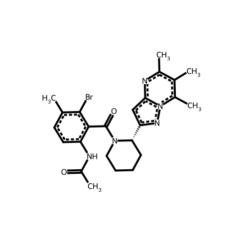 CC(=O)Nc1ccc(C)c(Br)c1C(=O)N1CCCC[C@H]1c1cc2nc(C)c(C)c(C)n2n1